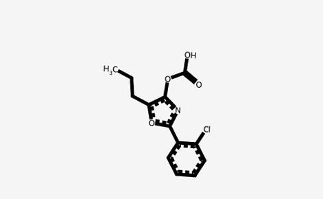 CCCc1oc(-c2ccccc2Cl)nc1OC(=O)O